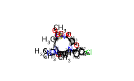 COCC[C@@H]1[C@@H](C)C/C=C/[C@](OC)(N2CCN(C(C)C)CC2)[C@@H]2CC[C@H]2CN2C[C@@]3(CCCc4cc(Cl)ccc43)COc3ccc(cc32)C(=O)NS1(=O)=O